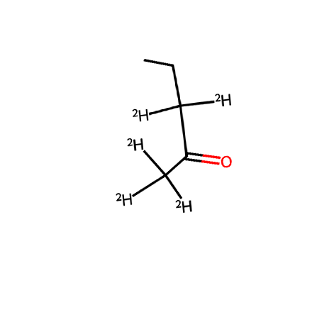 [2H]C([2H])([2H])C(=O)C([2H])([2H])CC